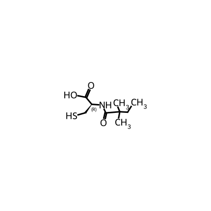 CCC(C)(C)C(=O)N[C@@H](CS)C(=O)O